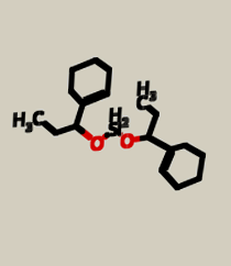 CCC(O[SiH2]OC(CC)C1=CCCCC1)C1=CCCCC1